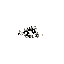 COC1=C(C(=O)c2ccc(OS(C)(=O)=O)cc2[N+](=O)[O-])C(=O)C(C)(C)OC1(C)C